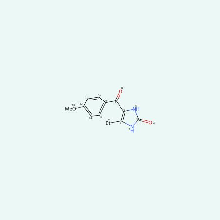 CCc1[nH]c(=O)[nH]c1C(=O)c1ccc(OC)cc1